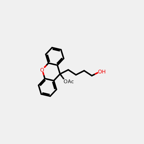 CC(=O)OC1(CCCCO)c2ccccc2Oc2ccccc21